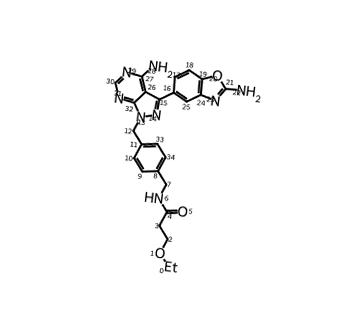 CCOCCC(=O)NCc1ccc(Cn2nc(-c3ccc4oc(N)nc4c3)c3c(N)ncnc32)cc1